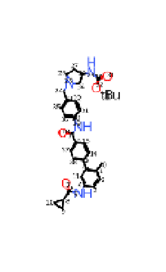 Cc1ccc(NC(=O)C2CC2)cc1-c1ccc(C(=O)Nc2ccc(CN3CCC(NC(=O)OC(C)(C)C)C3)cc2)cc1